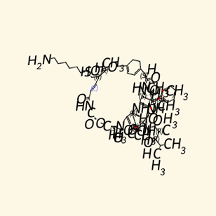 CC[C@H](C)[C@H]1NC(=O)[C@@H](NC(=O)[C@H](C)[C@H](O)C(C)C)[C@@H](C)OC(=O)[C@@H]2COC(=O)CNC(=O)/C=C/[C@](O)(CSCCCCCCN)[C@@H](C)OC3=CC=C(CC3)[C@H](NC1=O)C(=O)N(C)[C@@H](Cc1ccccc1)C(=O)N[C@H]([C@@H](C)O)C(=O)N2